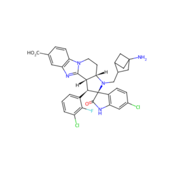 NC12CC(CN3[C@H]4CCn5c(nc6cc(C(=O)O)ccc65)[C@H]4[C@H](c4cccc(Cl)c4F)[C@]34C(=O)Nc3cc(Cl)ccc34)C(C1)C2